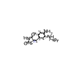 CC(C)CNc1cc(/C=C2/SC(=O)NC2=O)ccc1N